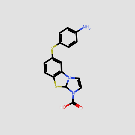 Nc1ccc(Sc2ccc3c(c2)N2C=CN(C(=O)O)C2S3)cc1